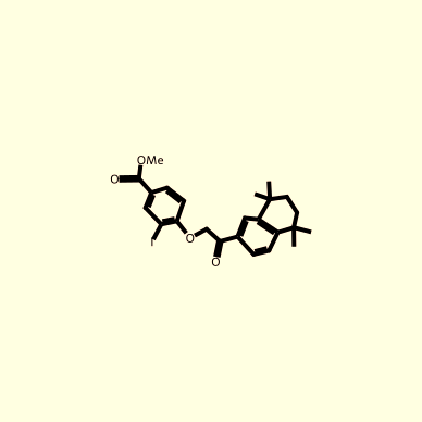 COC(=O)c1ccc(OCC(=O)c2ccc3c(c2)C(C)(C)CCC3(C)C)c(I)c1